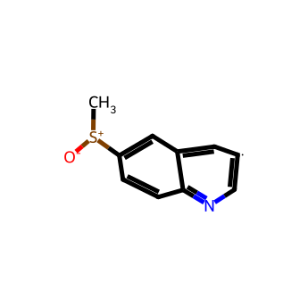 C[S+]([O-])c1ccc2nc[c]cc2c1